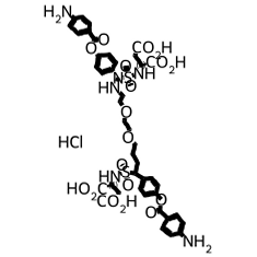 Cl.Nc1ccc(C(=O)Oc2ccc(C(CCCOCCOCCNN(c3ccc(OC(=O)c4ccc(N)cc4)cc3)S(=O)(=O)N[C@@H](CC(=O)O)C(=O)O)S(=O)(=O)N[C@@H](CC(=O)O)C(=O)O)cc2)cc1